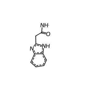 [NH]C(=O)Cc1nc2ccccc2[nH]1